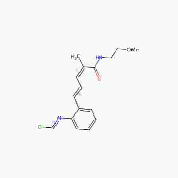 COCCNC(=O)/C(C)=C\C=C\c1ccccc1/N=C/Cl